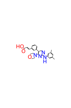 Cc1cc(C)cc(Nc2ncc(-c3cccc(/C=C/C(=O)O)c3)c(N3CCOCC3)n2)c1